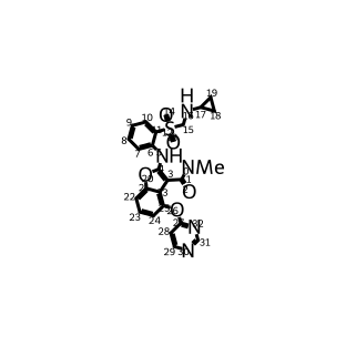 CNC(=O)c1c(Nc2ccccc2S(=O)(=O)CNC2CC2)oc2cccc(Oc3ccncn3)c12